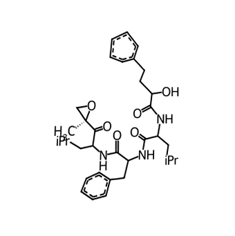 CC(C)CC(NC(=O)C(O)CCc1ccccc1)C(=O)NC(Cc1ccccc1)C(=O)NC(CC(C)C)C(=O)[C@@]1(C)CO1